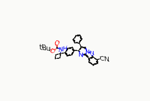 CC(C)(C)OC(=O)NC1(c2ccc(-c3nc4c5cccc(C#N)c5nn4cc3-c3ccccc3)cc2)CCC1